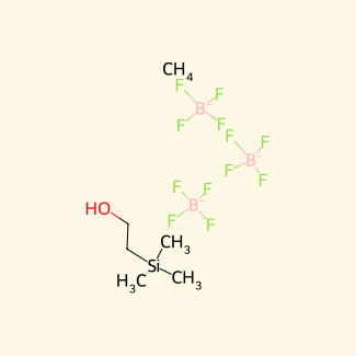 C.C[Si](C)(C)CCO.F[B-](F)(F)F.F[B-](F)(F)F.F[B-](F)(F)F